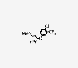 CCC[C@H](CCNC)Oc1ccc(Cl)c(C(F)(F)F)c1